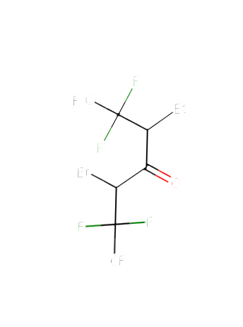 CCC(C(=O)C(CC)C(F)(F)C(F)(F)F)C(F)(F)C(F)(F)F